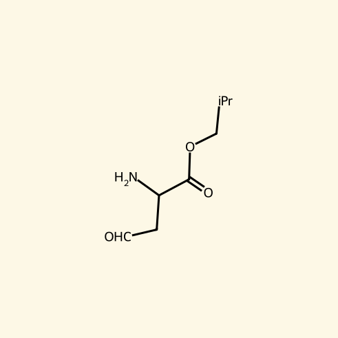 CC(C)COC(=O)C(N)CC=O